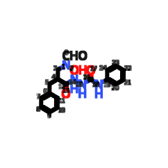 O=CN(O)CC(Cc1ccccc1)C(=O)NNC(=O)Nc1ccccc1